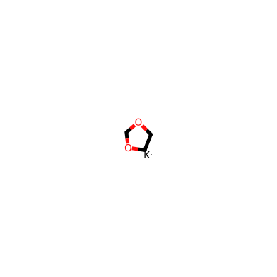 C1COCO1.[K]